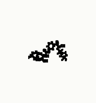 CC1(C)CCN(C(C)(C)CC(C#N)C(=O)N2CCC[C@H](OC(=O)N[C@@H](Cc3ccc(F)cc3)B(O)O)C2)C1